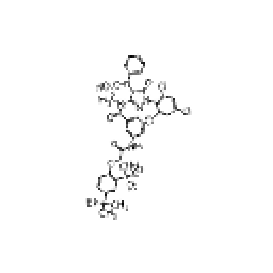 CCC(C)(C)c1ccc(OCC(=O)Nc2cccc(C(=O)N(C)C3=NN(c4c(Cl)cc(Cl)cc4Cl)C(=O)C3N(C(=O)O)c3ccccc3)c2)c(C(C)(C)CC)c1